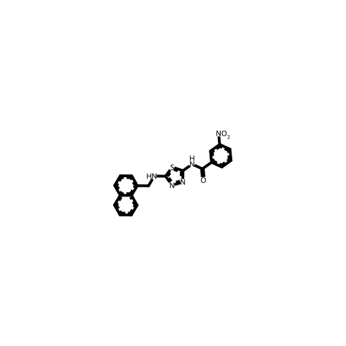 O=C(Nc1nnc(NCc2cccc3ccccc23)s1)c1cccc([N+](=O)[O-])c1